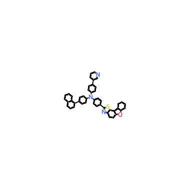 c1cncc(-c2ccc(N(c3ccc(-c4nc5ccc6oc7ccccc7c6c5s4)cc3)c3ccc(-c4cccc5ccccc45)cc3)cc2)c1